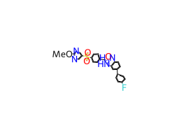 COc1ncc(S(=O)(=O)c2ccc(C(=O)Nc3cc(-c4ccc(F)cc4)ccc3N)cc2)cn1